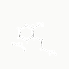 COCC(C)C.NCCc1cccc[c]1[Pd]